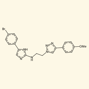 COc1ccc(-c2cn(CCNc3ncc(-c4ccc(Br)cc4)[nH]3)nn2)cc1